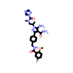 COc1ccc(F)cc1C(=O)NCc1ccc(-c2nn(C(C)CN(C)C(=O)n3cncn3)c(N)c2C(N)=O)cc1